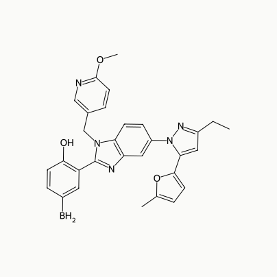 Bc1ccc(O)c(-c2nc3cc(-n4nc(CC)cc4-c4ccc(C)o4)ccc3n2Cc2ccc(OC)nc2)c1